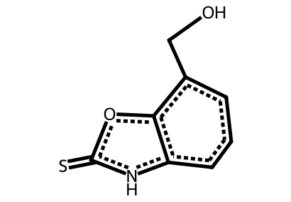 OCc1cccc2[nH]c(=S)oc12